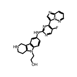 OCCn1c2c(c3cc(Nc4ncc(F)c(-c5cnc6cccnn56)n4)ccc31)CNCC2